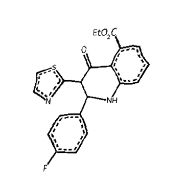 CCOC(=O)c1cccc2c1C(=O)C(c1nccs1)C(c1ccc(F)cc1)N2